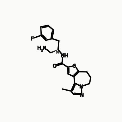 Cc1cnn2c1-c1cc(C(=O)N[C@H](CN)Cc3cccc(F)c3)sc1CCC2